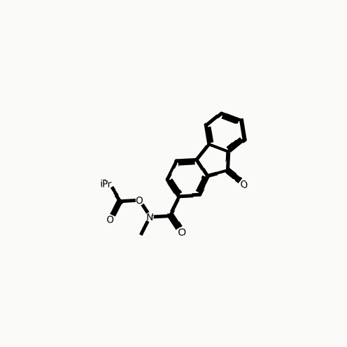 CC(C)C(=O)ON(C)C(=O)c1ccc2c(c1)C(=O)c1ccccc1-2